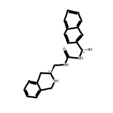 CC[C@H](NC(=O)NC[C@@H]1Cc2ccccc2CN1)c1ccc2ccccc2c1